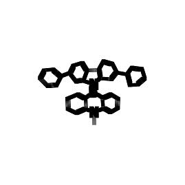 CN1c2ccccc2B(n2c3cc(-c4ccccc4)ccc3c3ccc(-c4ccccc4)cc32)c2ccccc21